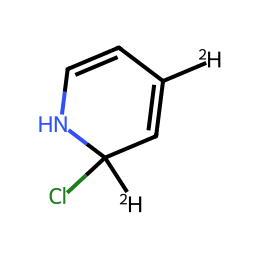 [2H]C1=CC([2H])(Cl)NC=C1